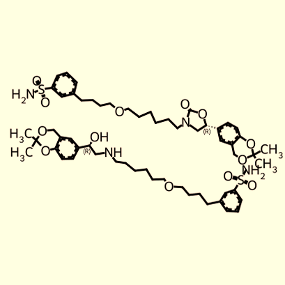 CC1(C)OCc2cc([C@@H](O)CNCCCCCCOCCCCc3cccc(S(N)(=O)=O)c3)ccc2O1.CC1(C)OCc2cc([C@@H]3CN(CCCCCCOCCCCc4cccc(S(N)(=O)=O)c4)C(=O)O3)ccc2O1